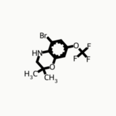 CC1(C)CNc2c(Br)cc(OC(F)(F)F)cc2O1